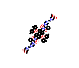 Cc1cccc(Oc2cc3c4c(cc(Oc5cccc(C)c5)c5c6c(Oc7cccc(C)c7)cc7c8c(cc(Oc9cccc(C)c9)c(c2c45)c86)C(=O)N(C(C(=O)N2CCN(CCN(CC4CO4)CC4CO4)CC2)C2CCCCC2)C7=O)C(=O)N(C(C(=O)N2CCN(CCN(CC4CO4)CC4CO4)CC2)C2CCCCC2)C3=O)c1